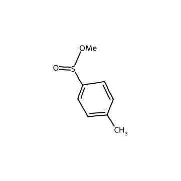 COS(=O)c1ccc(C)cc1